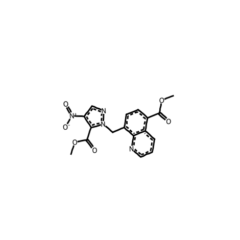 COC(=O)c1ccc(Cn2ncc([N+](=O)[O-])c2C(=O)OC)c2ncccc12